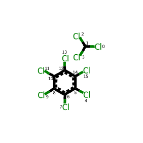 Cl[C](Cl)Cl.Clc1c(Cl)c(Cl)c(Cl)c(Cl)c1Cl